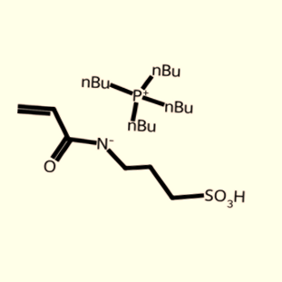 C=CC(=O)[N-]CCCS(=O)(=O)O.CCCC[P+](CCCC)(CCCC)CCCC